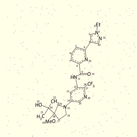 CCn1cc(-c2cccc(C(=O)Nc3cc(N4CCC(OC)(C(C)(C)O)C4)cnc3C(F)(F)F)n2)cn1